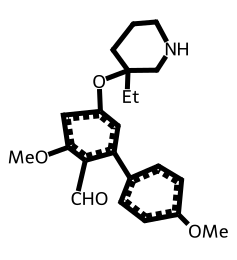 CCC1(Oc2cc(OC)c(C=O)c(-c3ccc(OC)cc3)c2)CCCNC1